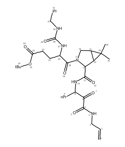 C=CCNC(=O)C(=O)C(CCC)NC(=O)C1C2C(CN1C(=O)C(CCC(=O)OC(C)(C)C)NC(=O)NCC(C)C)C2(C)C